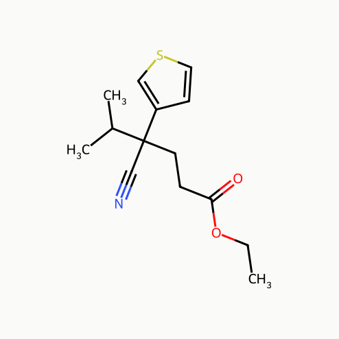 CCOC(=O)CCC(C#N)(c1ccsc1)C(C)C